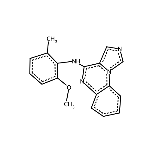 COc1cccc(C)c1Nc1nc2ccccc2n2cncc12